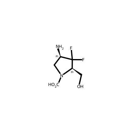 N[C@@H]1CN(C(=O)O)[C@H](CO)C1(F)F